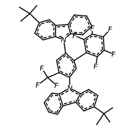 CC(C)(C)c1ccc2c(c1)c1ccccc1n2-c1cc(C(F)(F)F)c(-n2c3ccccc3c3cc(C(C)(C)C)ccc32)cc1-c1c(F)c(F)c(F)c(F)c1F